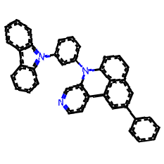 c1ccc(-c2cc3c4c(cccc4c2)N(c2cccc(-n4c5ccccc5c5ccccc54)c2)c2cnccc2-3)cc1